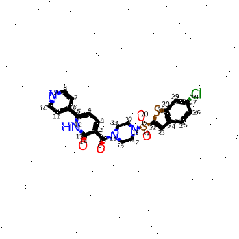 O=C(c1ccc(-c2ccncc2)[nH]c1=O)N1CCN(S(=O)(=O)c2cc3ccc(Cl)cc3s2)CC1